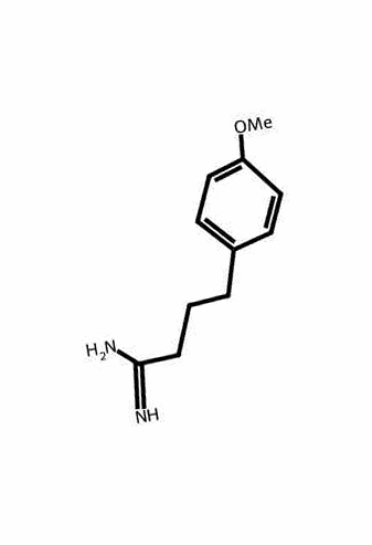 COc1ccc(CCCC(=N)N)cc1